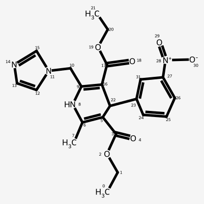 CCOC(=O)C1=C(C)NC(Cn2ccnc2)=C(C(=O)OCC)C1c1cccc([N+](=O)[O-])c1